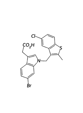 Cc1sc2ccc(Cl)cc2c1Cn1cc(CC(=O)O)c2ccc(Br)cc21